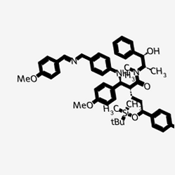 COc1ccc(C=NCc2ccc(N[C@H](c3ccc(OC)cc3)[C@@H](CC[C@H](O[Si](C)(C)C(C)(C)C)c3ccc(F)cc3)C(=O)N(C)[C@@H](C)[C@@H](O)c3ccccc3)cc2)cc1